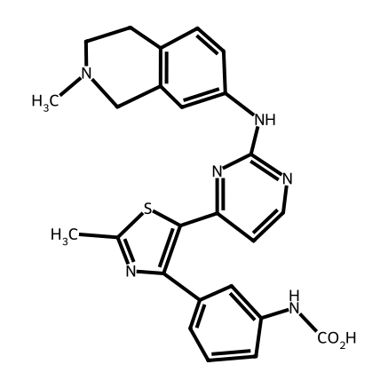 Cc1nc(-c2cccc(NC(=O)O)c2)c(-c2ccnc(Nc3ccc4c(c3)CN(C)CC4)n2)s1